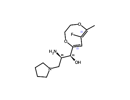 C/C1=C(F)\C=C(\[C@@H](O)[C@H](N)CN2CCCC2)OCCO1